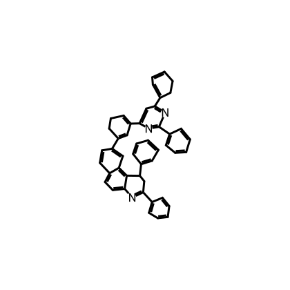 C1=CCCC(c2cc(C3=CCCC(c4ccc5ccc6c(c5c4)C(c4ccccc4)CC(c4ccccc4)=N6)=C3)nc(-c3ccccc3)n2)=C1